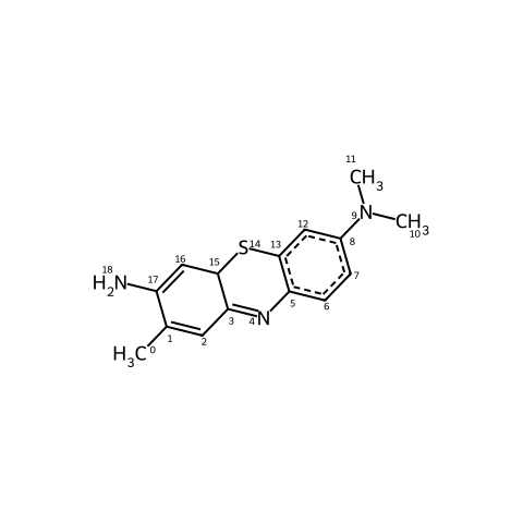 CC1=CC2=Nc3ccc(N(C)C)cc3SC2C=C1N